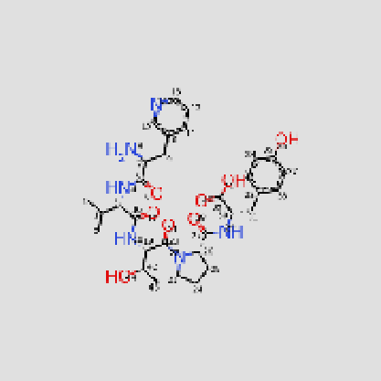 CC(C)[C@H](NC(=O)[C@@H](N)Cc1cccnc1)C(=O)N[C@H](C(=O)N1CCC[C@H]1C(=O)N[C@@H](Cc1ccc(O)cc1)C(=O)O)[C@@H](C)O